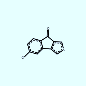 O=C1c2cscc2-c2cc(Cl)ccc21